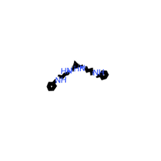 c1ccc(CNCCCCNC[C@H]2C[C@@H]2CNCCCCNCc2ccccc2)cc1